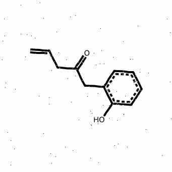 C=CCC(=O)Cc1ccccc1O